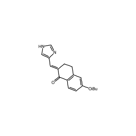 CC(C)COc1ccc2c(c1)CCC(=Cc1c[nH]cn1)C2=O